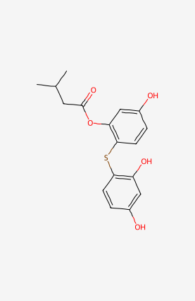 CC(C)CC(=O)Oc1cc(O)ccc1Sc1ccc(O)cc1O